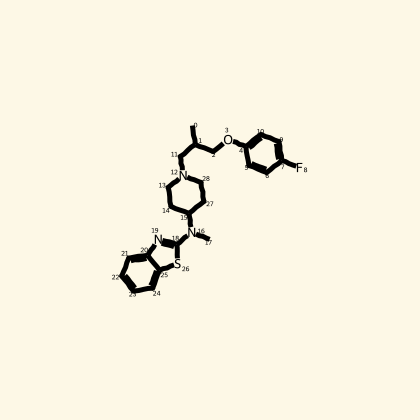 CC(COc1ccc(F)cc1)CN1CCC(N(C)c2nc3ccccc3s2)CC1